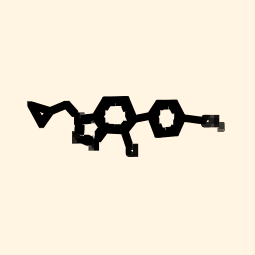 Cc1ccc(-c2ccc3c(nnn3CC3CC3)c2Cl)cc1